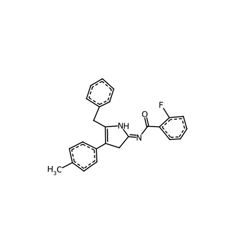 Cc1ccc(C2=C(Cc3ccccc3)N/C(=N\C(=O)c3ccccc3F)C2)cc1